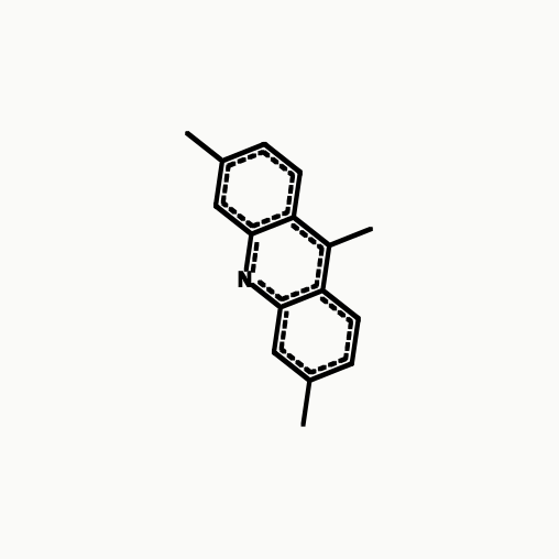 Cc1ccc2c(C)c3ccc(C)cc3nc2c1